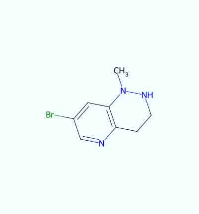 CN1NCCc2ncc(Br)cc21